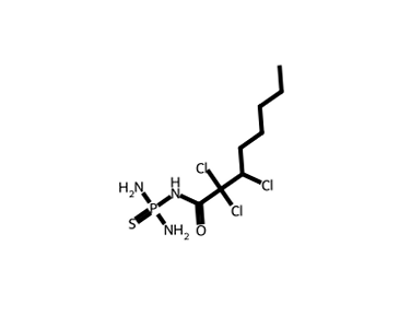 CCCCCC(Cl)C(Cl)(Cl)C(=O)NP(N)(N)=S